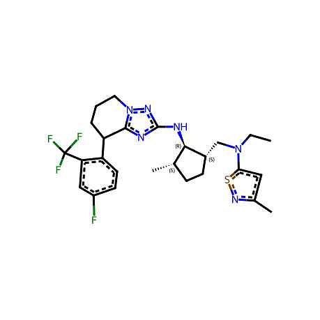 CCN(C[C@@H]1CC[C@H](C)[C@H]1Nc1nc2n(n1)CCCC2c1ccc(F)cc1C(F)(F)F)c1cc(C)ns1